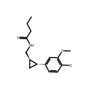 CCCC(=O)NC[C@@H]1C[C@H]1c1ccc(Cl)c(OC)c1